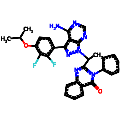 CC(C)Oc1ccc(-c2nn(C(C)c3nc4ccccc4c(=O)n3-c3ccccc3)c3ncnc(N)c23)c(F)c1F